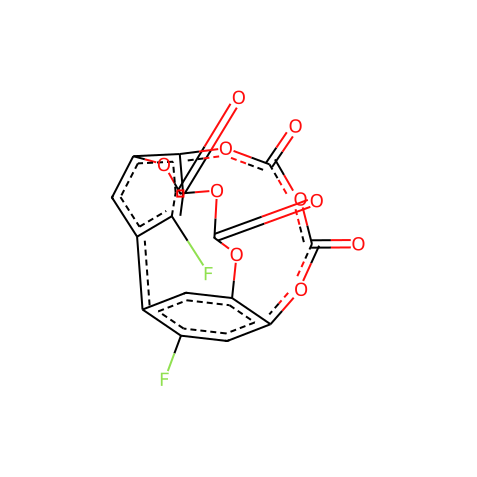 O=C1OC(=O)Oc2cc3c(F)cc2oc(=O)oc(=O)oc2cc(F)c3cc2O1